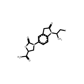 CC(CF)N1C(=O)Cc2cc(N3CC(C(N)=O)OC3=O)ccc21